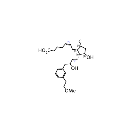 COCCc1cccc(CC(O)/C=C/[C@@H]2[C@@H](C/C=C\CCCC(=O)O)[C@H](Cl)C[C@H]2O)c1